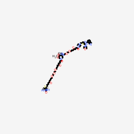 CO[C@H]1CN(C(=O)CCCC(=O)CCCCOCCOCCOCCCCC(=O)CCCC[C@@H]2SC[C@@H]3NC(=O)N[C@@H]32)CCc2c(nnn2CCOCCOC/C=C/C(=O)CCC(=O)N2CCN(Cc3cc4nc(-c5cccc6c5C=NC6)nc(N5CCOCC5)c4s3)CC2)[C@@H]1OC